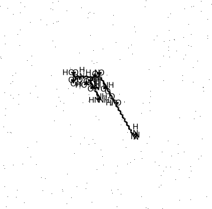 CN[C@@H](CCCNC(=N)N)C(=O)N[C@@H](CC(=O)O)C(=O)N[C@@H](CCCCNC(=O)CN(CC(=O)O)CC(=O)O)C(=O)N[C@@H](CCCCNC(=O)COCCOCCNC(=O)CCCCCCCCCCCCCCCc1nnn[nH]1)C(N)=O